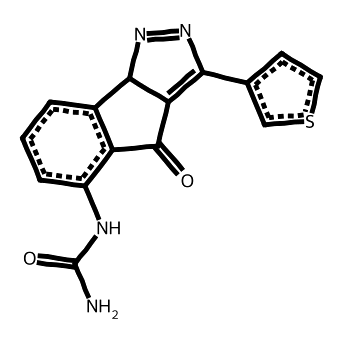 NC(=O)Nc1cccc2c1C(=O)C1=C(c3ccsc3)N=NC12